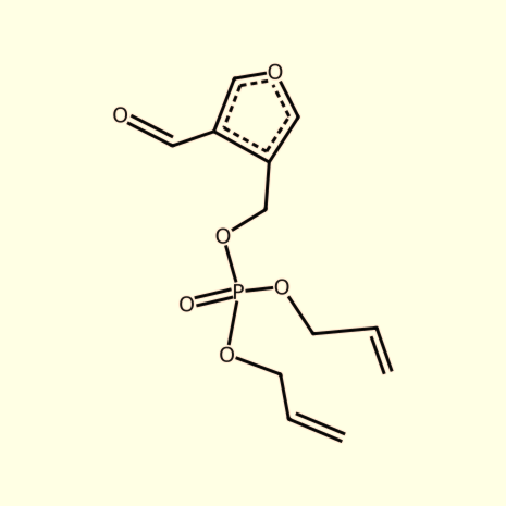 C=CCOP(=O)(OCC=C)OCc1cocc1C=O